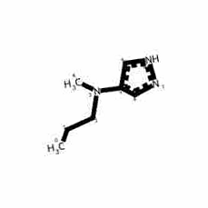 CCCN(C)c1[c]n[nH]c1